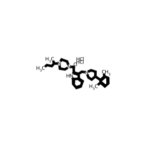 CCCC(C)N1CCN(C(=O)c2[nH]c3ccccc3c2CN2CCC(c3c(C)cccc3C)CC2)CC1.Cl.Cl